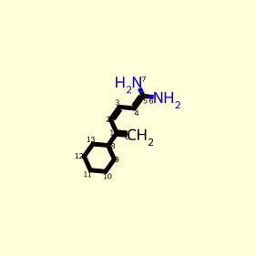 C=C(/C=C\C=C(N)N)C1CCCCC1